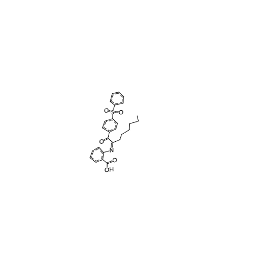 CCCCCCC(=Nc1ccccc1C(=O)O)C(=O)c1ccc(S(=O)(=O)c2ccccc2)cc1